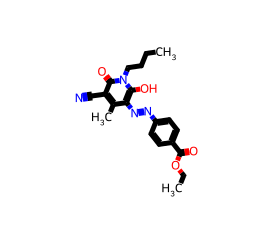 CCCCn1c(O)c(/N=N/c2ccc(C(=O)OCC)cc2)c(C)c(C#N)c1=O